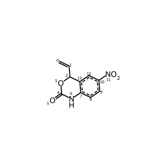 C=CC1OC(=O)Nc2ccc([N+](=O)[O-])cc21